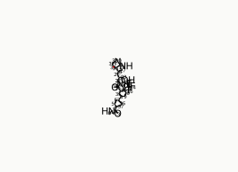 CNC(=O)c1ccc(-c2ccc(OC(F)(F)F)c(C(=O)NCC(CO)Cc3c[nH]c4ncccc34)c2)cc1